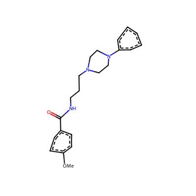 COc1ccc(C(=O)NCCCN2CCN(c3ccccc3)CC2)cc1